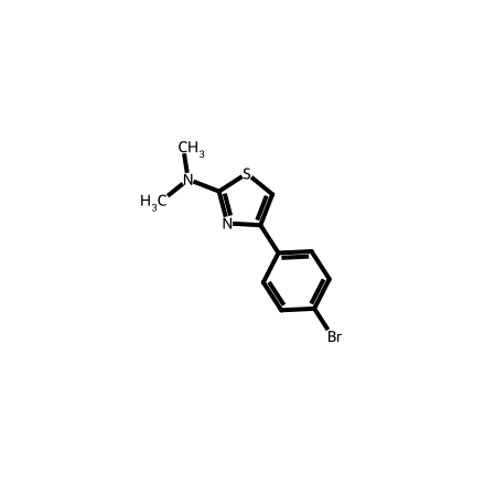 CN(C)c1nc(-c2ccc(Br)cc2)cs1